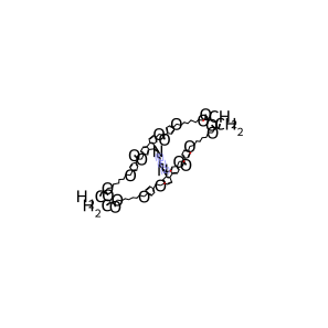 C=CC(=O)OCCCCCCOc1ccc(COc2ccc3c(c2)/C(=N/C=C/C=C/N=C2c4cc(OC(=O)c5ccc(OCCCCCCOC(=O)C=C)cc5)ccc4-c4ccc(OC(=O)c5ccc(OCCCCCCOC(=O)C=C)cc5)cc42)c2cc(OC(=O)c4ccc(OCCCCCCOC(=O)C=C)cc4)ccc2-3)cc1